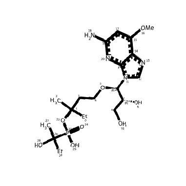 CCC(C)(CCO[C@H]([C@H](O)CO)n1cnc2c(OC)cc(N)nc21)OP(=O)(O)C(C)(O)CC